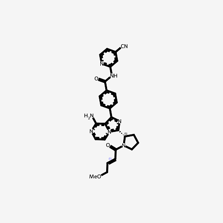 COC/C=C/C(=O)N1CCC[C@H]1c1nc(-c2ccc(C(=O)Nc3cc(C#N)ccn3)cc2)c2c(N)nccn12